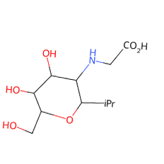 CC(C)C1OC(CO)C(O)C(O)C1NCC(=O)O